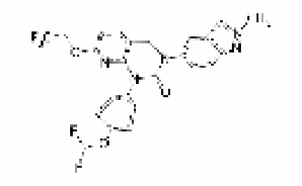 Cn1cc2cc(N3Cc4ccc(OCC(F)(F)F)nc4N(c4ccc(OC(F)F)cc4)C3=O)ccc2n1